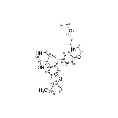 COCCCN1CCOc2ccc(COC3CNCC(O)C3c3ccc(Oc4cc(C)ccn4)cc3)cc21